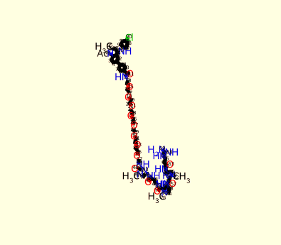 CC(=O)N1c2ccc(-c3ccc(C(=O)NCCOCCOCCOCCOCCOCCOCCOCCOCCNC(=O)c4nc(NC(=O)CCNC(=O)c5c(NC(=O)c6nc(NC(=O)CCNC(=N)N)cn6C)ccn5C)cn4C)cc3)cc2[C@H](Nc2ccc(Cl)cc2)C[C@@H]1C